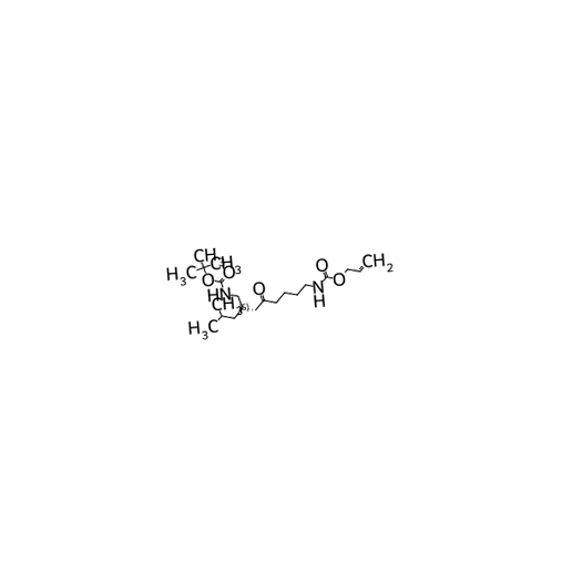 C=CCOC(=O)NCCCCC(=O)C[C@@H](CNC(=O)OC(C)(C)C)CC(C)C